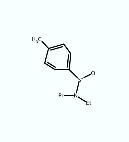 CCN(C(C)C)[S+]([O-])c1ccc(C)cc1